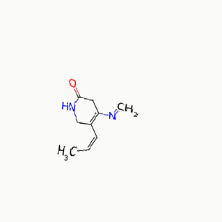 C=NC1=C(/C=C\C)CNC(=O)C1